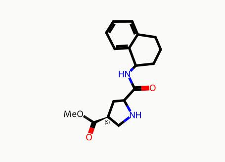 COC(=O)[C@@H]1CNC(C(=O)NC2CCCc3ccccc32)C1